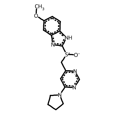 COc1ccc2[nH]c([S+]([O-])Cc3cc(N4CCCC4)ncn3)nc2c1